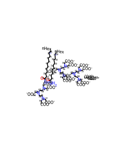 CCCCCC/C=C/CCCCCCCCCC(N)=O.CCCCCC/C=C/CCCCCCCCCC(N)=O.O=C([O-])CN(CCN(CC(=O)[O-])CC(=O)[O-])CCN(CC(=O)[O-])CC(=O)[O-].O=C([O-])CN(CCN(CC(=O)[O-])CC(=O)[O-])CCN(CC(=O)[O-])CC(=O)[O-].O=C([O-])CN(CCN(CC(=O)[O-])CC(=O)[O-])CCN(CC(=O)[O-])CC(=O)[O-].[Gd+3].[Gd+3].[Gd+3].[Gd+3].[Gd+3]